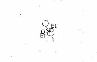 CCO[Si](CC(C)I)(OCC)C1CCCC1